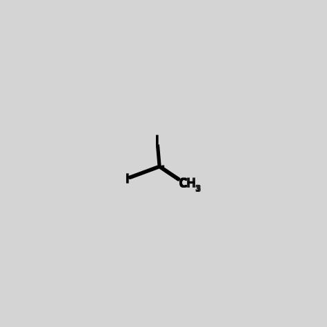 C[C](I)I